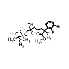 COC(=O)C(C)(CCCC(C)(C)CO[Si](C)(C)C(C)(C)C)c1cccc(Br)c1F